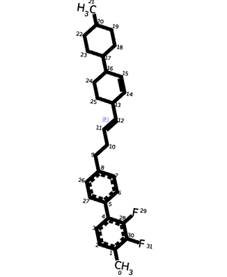 Cc1ccc(-c2ccc(CC/C=C/C3C=CC(C4CCC(C)CC4)CC3)cc2)c(F)c1F